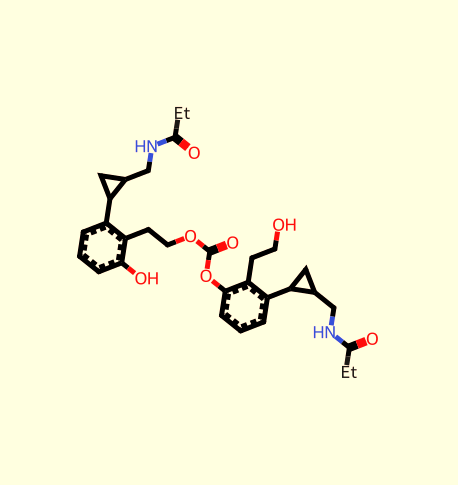 CCC(=O)NCC1CC1c1cccc(O)c1CCOC(=O)Oc1cccc(C2CC2CNC(=O)CC)c1CCO